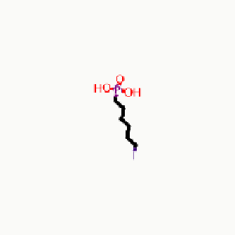 O=P(O)(O)CCCCCCI